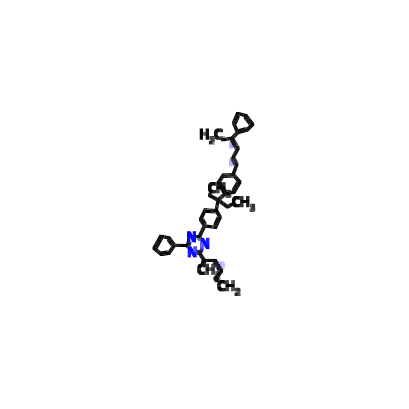 C=C/C=C\C(=C)c1nc(-c2ccccc2)nc(-c2ccc(C(CC)(CC)c3ccc(/C=C/C=C(\C=C)c4ccccc4)cc3)cc2)n1